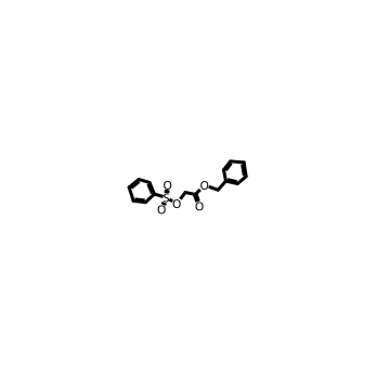 O=C(COS(=O)(=O)c1ccccc1)OCc1ccccc1